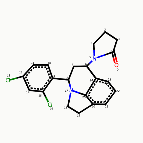 O=C1CCCN1C1CC(c2ccc(Cl)cc2Cl)N2CCc3cccc1c32